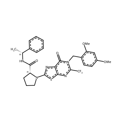 COc1ccc(Cn2c(C(F)(F)F)nc3sc(N4CCC[C@@H]4C(=O)N[C@H](C)c4ccccc4)nc3c2=O)c(OC)c1